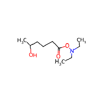 CCN(CC)OC(=O)CCCC(C)O